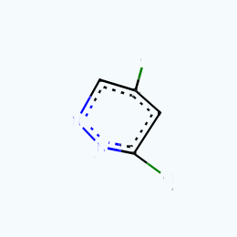 Clc1[c]c(Cl)nnc1